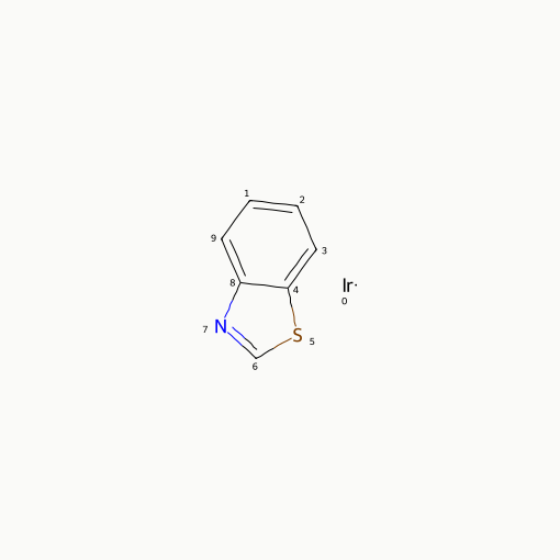 [Ir].c1ccc2scnc2c1